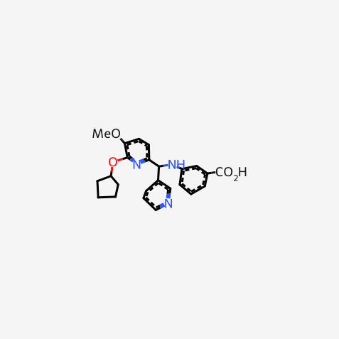 COc1ccc(C(Nc2cccc(C(=O)O)c2)c2cccnc2)nc1OC1CCCC1